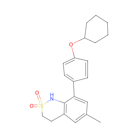 Cc1cc2c(c(-c3ccc(OC4CCCCC4)cc3)c1)NS(=O)(=O)CC2